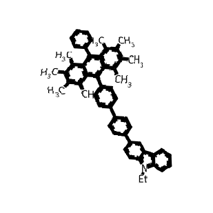 CCn1c2ccccc2c2cc(-c3ccc(-c4ccc(-c5c6c(C)c(C)c(C)c(C)c6c(-c6ccccc6)c6c(C)c(C)c(C)c(C)c56)cc4)cc3)ccc21